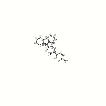 C=C(/C=C\C(C)=C/C)/C(=C/c1c(C)n2c3c(c4cccc1c42)C=CCC3)CC